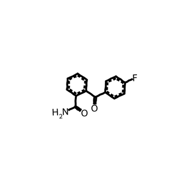 NC(=O)c1ccccc1C(=O)c1ccc(F)cc1